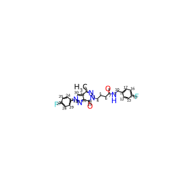 Cc1nn(CCCC(=O)NCc2ccc(F)cc2)c(=O)c2nn(-c3ccc(F)cc3)cc12